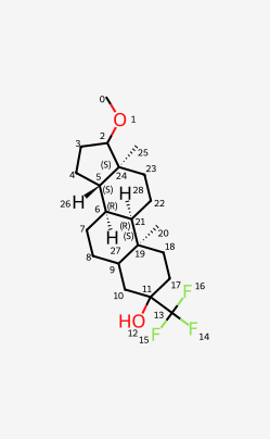 COC1CC[C@H]2[C@@H]3CCC4CC(O)(C(F)(F)F)CC[C@]4(C)[C@@H]3CC[C@]12C